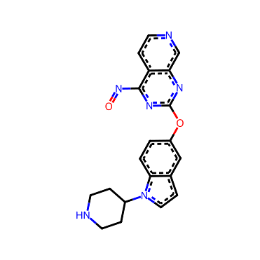 O=Nc1nc(Oc2ccc3c(ccn3C3CCNCC3)c2)nc2cnccc12